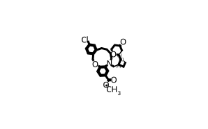 COC(=O)c1ccc2c(c1)N(C[C@@H]1CC[C@H]1[C@@H]1CC(=O)CCO1)CCCCc1cc(Cl)ccc1CO2